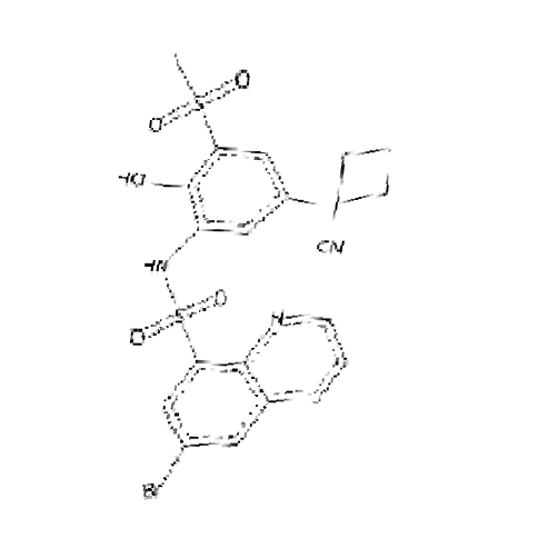 CS(=O)(=O)c1cc(C2(C#N)CCC2)cc(NS(=O)(=O)c2cc(Br)cc3cccnc23)c1O